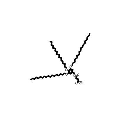 CCCCCCCCCCCCCCCCCCOc1cc(COC(=O)CCC(=O)O)cc(OCCCCCCCCCCCCCCCCCC)c1OCCCCCCCCCCCCCCCCCC